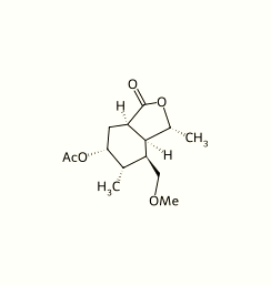 COC[C@H]1[C@H](C)[C@H](OC(C)=O)C[C@H]2C(=O)O[C@H](C)[C@@H]12